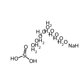 O.O.O.O.O.O.O.O.O.O=[Si](O)O.[NaH]